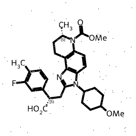 COC(=O)N1c2ccc3c(nc(C[C@H](C(=O)O)c4ccc(C)c(F)c4)n3C3CCC(OC)CC3)c2CC[C@@H]1C